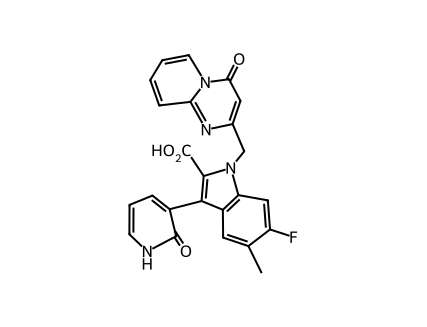 Cc1cc2c(-c3ccc[nH]c3=O)c(C(=O)O)n(Cc3cc(=O)n4ccccc4n3)c2cc1F